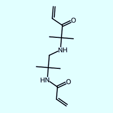 C=CC(=O)NC(C)(C)CNC(C)(C)C(=O)C=C